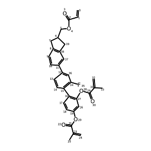 C=CC(=O)OCC1Cc2ccc(-c3ccc(-c4ccc(OC(=O)C(=C)C)cc4OC(=O)C(=C)C)c(F)c3)cc2C1